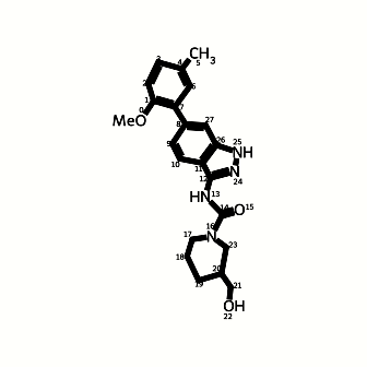 COc1ccc(C)cc1-c1ccc2c(NC(=O)N3CCCC(CO)C3)n[nH]c2c1